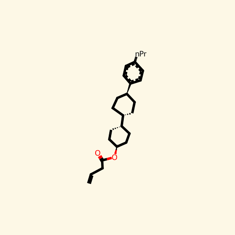 C=CCC(=O)O[C@H]1CC[C@H]([C@H]2CC[C@H](c3ccc(CCC)cc3)CC2)CC1